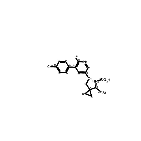 CC(C)(C)C(NC(=O)O)C1(COc2cnc(F)c(-c3ccc(Cl)cc3)c2)CC1